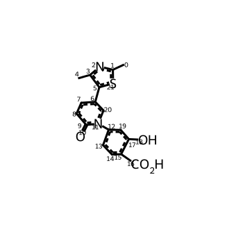 Cc1nc(C)c(-c2ccc(=O)n(-c3ccc(C(=O)O)c(O)c3)c2)s1